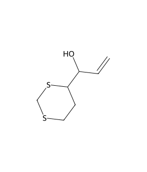 C=CC(O)C1CCSCS1